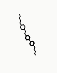 CCCCCc1ccc(-c2ccc(CCC3CCC(CCCCC)CC3)cc2)cc1